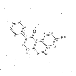 O=c1c(-c2ccccc2)coc2ccc3cc(F)ccc3c12